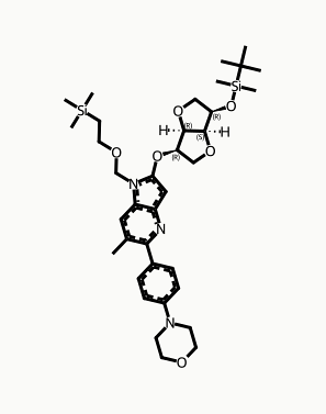 Cc1cc2c(cc(O[C@@H]3CO[C@H]4[C@@H]3OC[C@H]4O[Si](C)(C)C(C)(C)C)n2COCC[Si](C)(C)C)nc1-c1ccc(N2CCOCC2)cc1